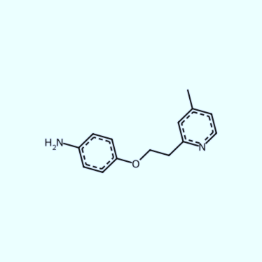 Cc1ccnc(CCOc2ccc(N)cc2)c1